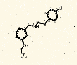 FC(F)(F)COc1cccc(CNCCc2ccc(Cl)cc2)c1